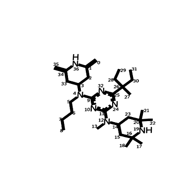 C=C1CC(N(CCCC)c2nc(N(C)C3CC(C)(C)NC(C)(C)C3)nc(C(C)(CC)CC)n2)CC(=C)N1